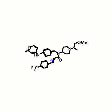 COCC(C)N1CCC(N(Cc2ccc(Nc3ccnc(C)c3)cc2)C(=O)/C=C/c2ccc(C(F)(F)F)cc2)CC1